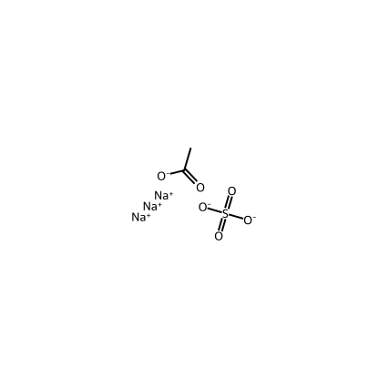 CC(=O)[O-].O=S(=O)([O-])[O-].[Na+].[Na+].[Na+]